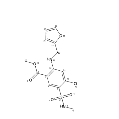 CNS(=O)(=O)c1cc(C(=O)OC)c(NCc2ccco2)cc1Cl